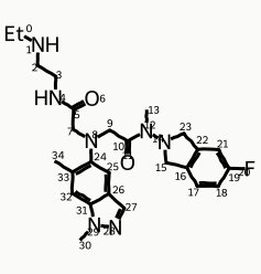 CCNCCNC(=O)CN(CC(=O)N(C)N1Cc2ccc(F)cc2C1)c1cc2cnn(C)c2cc1C